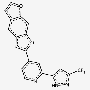 FC(F)(F)c1cc(-c2cc(-c3cc4cc5ccoc5cc4o3)ccn2)[nH]n1